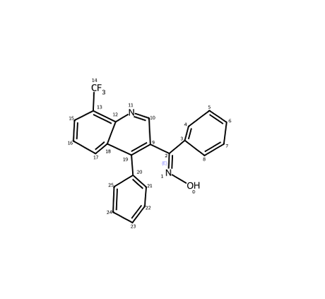 O/N=C(\c1ccccc1)c1cnc2c(C(F)(F)F)cccc2c1-c1ccccc1